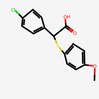 COc1ccc(SC(C(=O)O)c2ccc(Cl)cc2)cc1